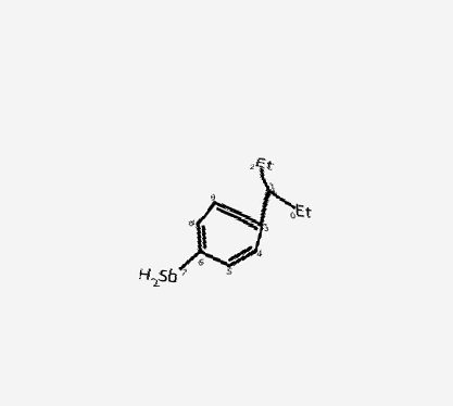 CCC(CC)c1cc[c]([SbH2])cc1